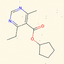 CCc1ncnc(C)c1C(=O)OC1CCCC1